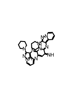 N=C1C=C(N)C(=Nc2c(N3CCCCC3)nn3ccccc23)N/C1=N\c1c(N2CCCCC2)nn2ccccc12